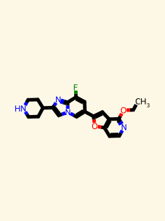 CCOc1nccc2oc(-c3cc(F)c4nc(C5CCNCC5)cn4c3)cc12